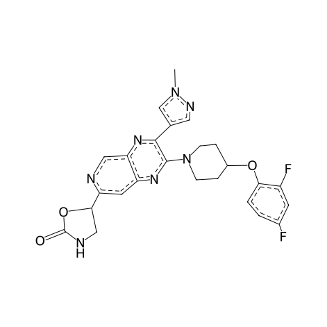 Cn1cc(-c2nc3cnc(C4CNC(=O)O4)cc3nc2N2CCC(Oc3ccc(F)cc3F)CC2)cn1